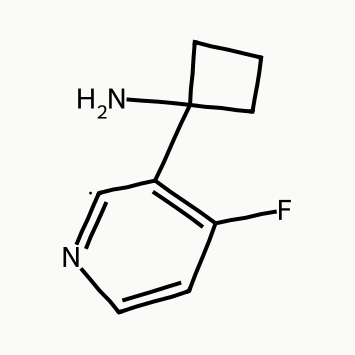 NC1(c2[c]nccc2F)CCC1